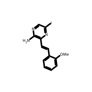 COc1ccccc1C=Cc1nc(I)cnc1N